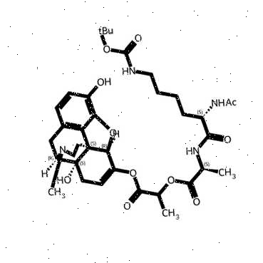 CC(=O)N[C@@H](CCCCNC(=O)OC(C)(C)C)C(=O)N[C@@H](C)C(=O)OC(C)C(=O)OC1=CC[C@@]2(O)[C@H]3Cc4ccc(O)c5c4[C@@]2(CCN3C)[C@H]1O5